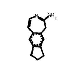 NC1=NC=Cc2cc3c(cc2C1)CCC3